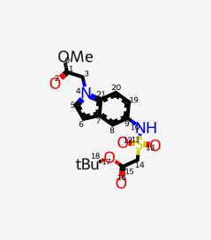 COC(=O)Cn1ccc2cc(NS(=O)(=O)CC(=O)OC(C)(C)C)ccc21